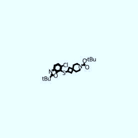 CC(C)(C)OC(=O)N1CCC2(CC1)CC(Sc1c(Cl)ccc3nc(C(C)(C)C)oc13)C2